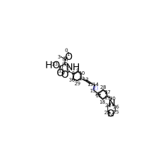 CO[C@H](C)[C@H](NC(=O)c1ccc(C#C/C=C/c2ccc(CN3CCOCC3)cc2)cc1)C(=O)O